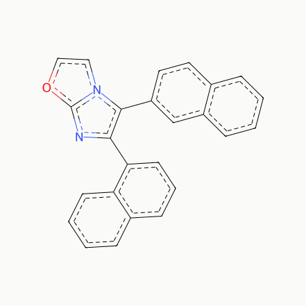 c1ccc2cc(-c3c(-c4cccc5ccccc45)nc4occn34)ccc2c1